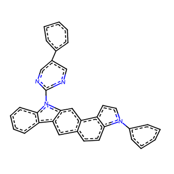 c1ccc(-c2cnc(-n3c4ccccc4c4cc5ccc6c(ccn6-c6ccccc6)c5cc43)nc2)cc1